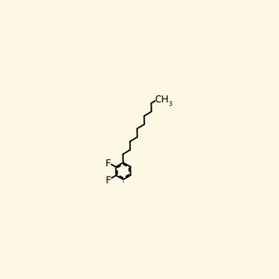 CCCCCCCCCCc1cc[c]c(F)c1F